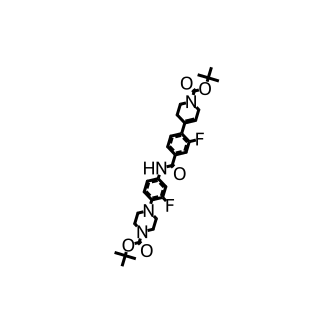 CC(C)(C)OC(=O)N1CC=C(c2ccc(C(=O)Nc3ccc(N4CCN(C(=O)OC(C)(C)C)CC4)c(F)c3)cc2F)CC1